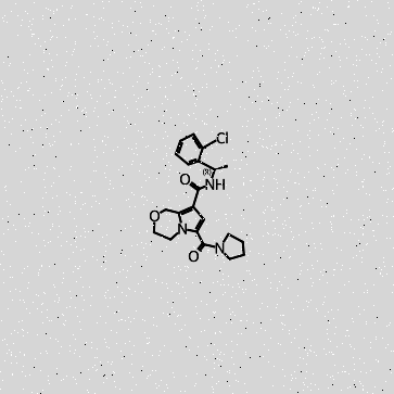 C[C@@H](NC(=O)c1cc(C(=O)N2CCCC2)n2c1COCC2)c1ccccc1Cl